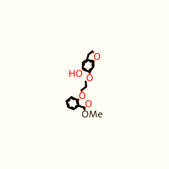 COC(=O)c1ccccc1OCCCOc1cc2c(cc1O)CCO2